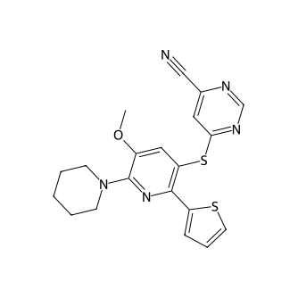 COc1cc(Sc2cc(C#N)ncn2)c(-c2cccs2)nc1N1CCCCC1